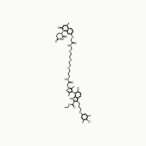 CCOC(=O)c1[nH]c2c(-c3c(C)nn(CC(=O)NCCCOCCOCCOCNC(=O)COc4ccc5c(C)cc(=O)n(C6CCC(=O)NC6=O)c5c4)c3C)c(Cl)ccc2c1CCCOc1cc(C)c(Cl)c(C)c1